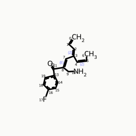 C=C/C=C(/C=C\C)\C=C(/CN)C(=O)c1ccc(F)cc1